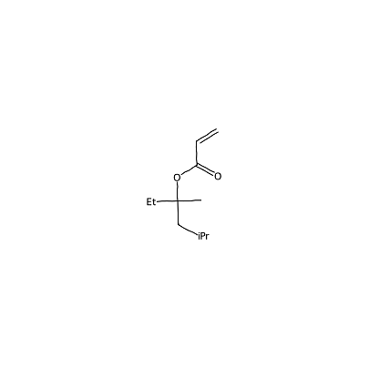 C=CC(=O)OC(C)(CC)CC(C)C